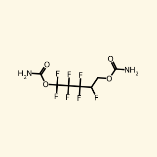 NC(=O)OCC(F)C(F)(F)C(F)(F)C(F)(F)OC(N)=O